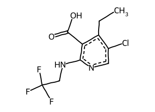 CCc1c(Cl)cnc(NCC(F)(F)F)c1C(=O)O